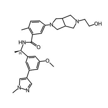 COc1cc(-c2cnn(C)c2)cc([C@@H](C)NC(=O)c2cc(N3CC4CN(CCO)CC4C3)ccc2C)c1